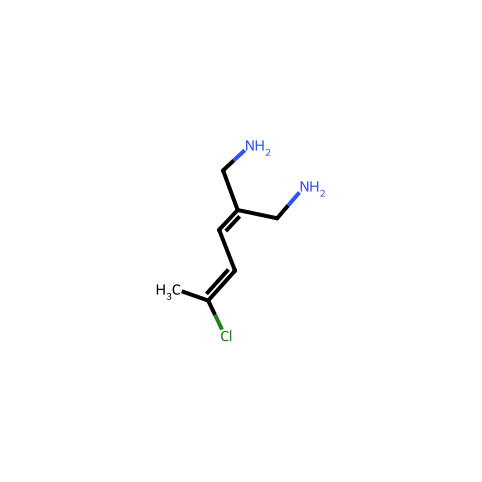 C/C(Cl)=C\C=C(CN)CN